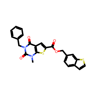 Cn1c(=O)n(Cc2ccccc2)c(=O)c2cc(C(=O)OCc3ccc4ccsc4c3)sc21